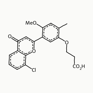 COc1cc(C)c(OCCC(=O)O)cc1-c1cc(=O)c2cccc(Cl)c2o1